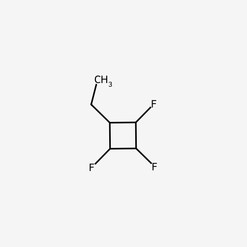 CCC1C(F)C(F)C1F